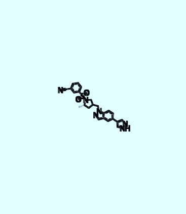 C[C@H]1CC(Cn2ncc3cc(-c4cn[nH]c4)ccc32)CN1S(=O)(=O)c1cccc(C#N)c1